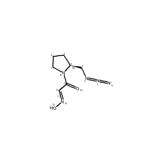 [N-]=[N+]=NC[C@@H]1CCCN1C(=O)/C=N/O